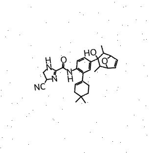 CC1C2C=CC(O2)C(C)C1(O)c1ccc(NC(=O)C2=NC(C#N)CN2)c(C2=CCC(C)(C)CC2)c1